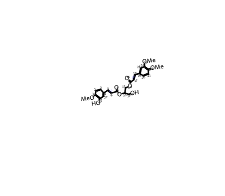 COc1ccc(/C=C/C(=O)OC(CO)COC(=O)/C=C/c2ccc(OC)c(OC)c2)cc1O